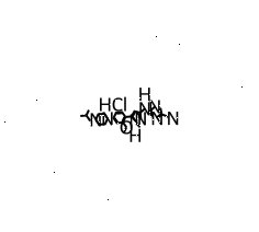 COc1cc(N2CCN(CC(C)C)CC2)ccc1-c1cc(Nc2cnc(C#N)cn2)n[nH]1.Cl